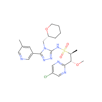 CO[C@H](c1ncc(Cl)cn1)[C@H](C)S(=O)(=O)Nc1nnc(-c2cncc(C)c2)n1C[C@H]1CCCCO1